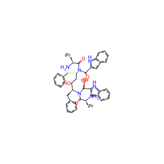 CC(C)[C@H](N)C(=O)N(C(=O)c1cc2ccccc2[nH]1)[C@@H](Cc1ccccc1)[C@H](O)[C@H](O)[C@H](Cc1ccccc1)N(C(=O)c1cc2ccccc2[nH]1)C(=O)[C@@H](N)C(C)C